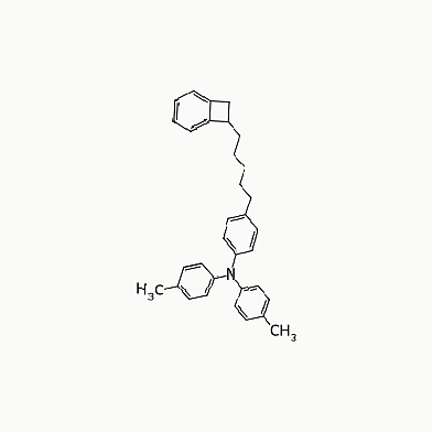 Cc1ccc(N(c2ccc(C)cc2)c2ccc(CCCCCC3Cc4ccccc43)cc2)cc1